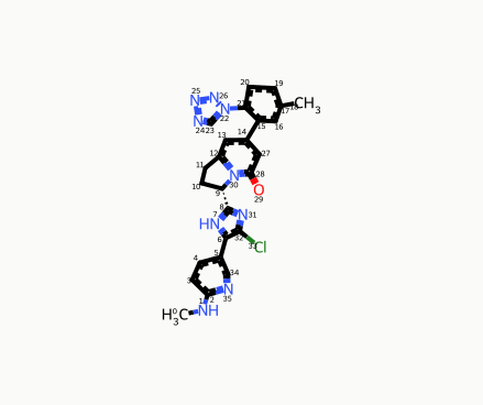 CNc1ccc(-c2[nH]c([C@@H]3CCc4cc(-c5cc(C)ccc5-n5cnnn5)cc(=O)n43)nc2Cl)cn1